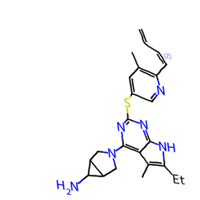 C=C/C=C\c1ncc(Sc2nc(N3CC4C(N)C4C3)c3c(C)c(CC)[nH]c3n2)cc1C